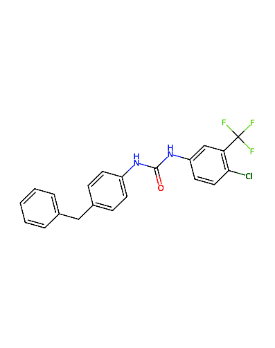 O=C(Nc1ccc(Cc2ccccc2)cc1)Nc1ccc(Cl)c(C(F)(F)F)c1